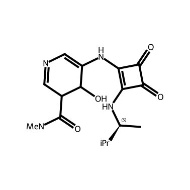 CNC(=O)C1C=NC=C(Nc2c(N[C@@H](C)C(C)C)c(=O)c2=O)C1O